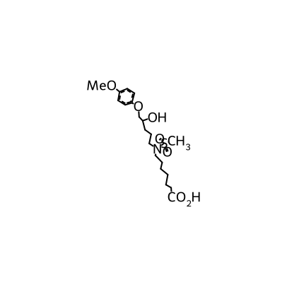 COc1ccc(OCC(O)CCCN(CCCCCCC(=O)O)S(C)(=O)=O)cc1